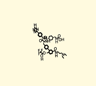 CCN(CC)CCCNC(=O)c1ccc(C)c(-c2ccc(C[C@H](NC(=O)[C@H]3CC[C@H](CNC(=O)O)CC3)C(=O)Nc3ccc(-c4nn[nH]n4)cc3)cc2)c1.O=C(O)C(F)(F)F